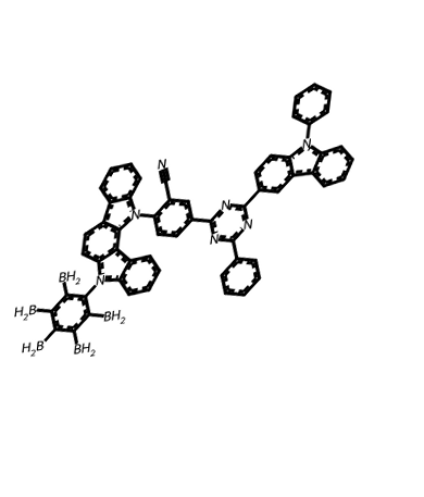 Bc1c(B)c(B)c(-n2c3ccccc3c3c2ccc2c4ccccc4n(-c4ccc(-c5nc(-c6ccccc6)nc(-c6ccc7c(c6)c6ccccc6n7-c6ccccc6)n5)cc4C#N)c23)c(B)c1B